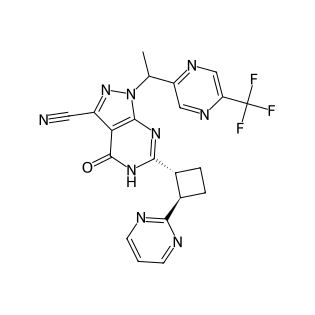 CC(c1cnc(C(F)(F)F)cn1)n1nc(C#N)c2c(=O)[nH]c([C@@H]3CC[C@H]3c3ncccn3)nc21